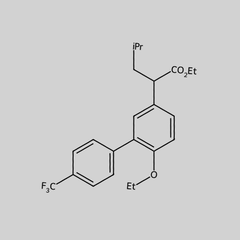 CCOC(=O)C(CC(C)C)c1ccc(OCC)c(-c2ccc(C(F)(F)F)cc2)c1